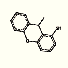 CC1c2ccccc2Oc2cccc(S)c21